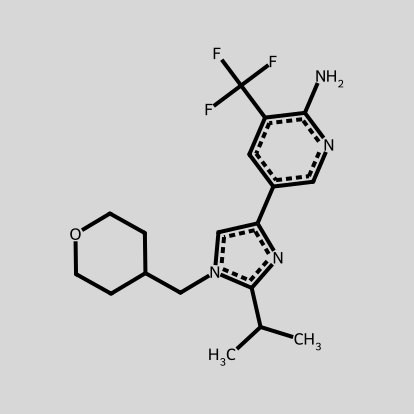 CC(C)c1nc(-c2cnc(N)c(C(F)(F)F)c2)cn1CC1CCOCC1